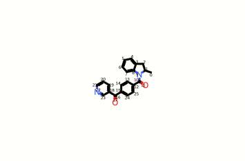 CC1Cc2ccccc2N1C(=O)c1ccc(C(=O)c2cccnc2)cc1